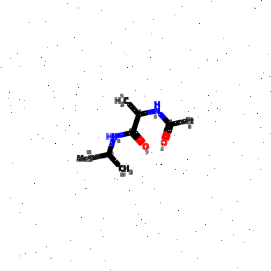 CCC(=O)NC(C)C(=O)NC(C)SC